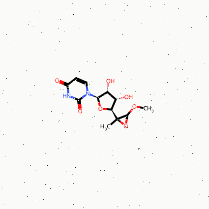 COC1OC1(C)[C@H]1O[C@@H](n2ccc(=O)[nH]c2=O)[C@H](O)[C@@H]1O